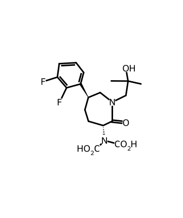 CC(C)(O)CN1C[C@H](c2cccc(F)c2F)CC[C@@H](N(C(=O)O)C(=O)O)C1=O